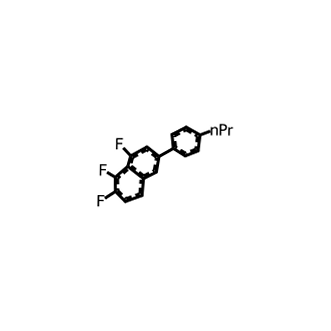 CCCc1ccc(-c2cc(F)c3c(F)c(F)ccc3c2)cc1